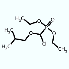 CCOP(=O)(OCC)C(Cl)OCC(C)C